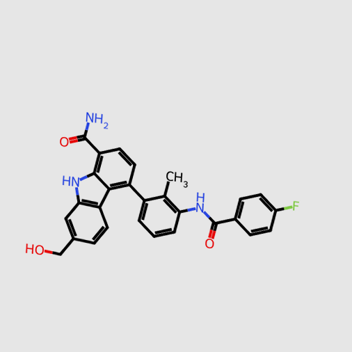 Cc1c(NC(=O)c2ccc(F)cc2)cccc1-c1ccc(C(N)=O)c2[nH]c3cc(CO)ccc3c12